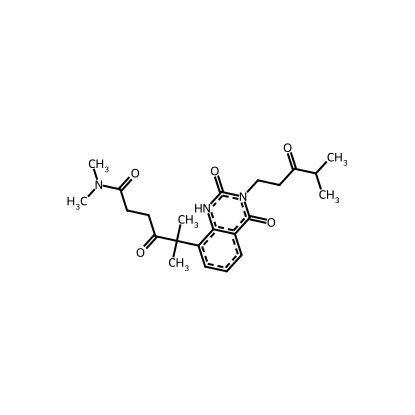 CC(C)C(=O)CCn1c(=O)[nH]c2c(C(C)(C)C(=O)CCC(=O)N(C)C)cccc2c1=O